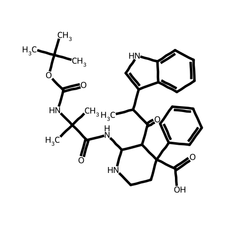 CC(C(=O)C1C(NC(=O)C(C)(C)NC(=O)OC(C)(C)C)NCCC1(C(=O)O)c1ccccc1)c1c[nH]c2ccccc12